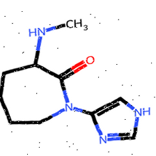 CNC1CCCCN(c2c[nH]cn2)C1=O